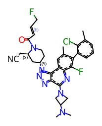 Cc1cccc(-c2c(C)cc3c(nc(N4CC(N(C)C)C4)c4nnn([C@H]5CCN(C(=O)/C=C/CF)[C@H](CC#N)C5)c43)c2F)c1Cl